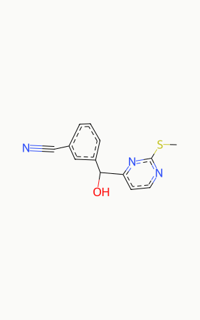 CSc1nccc(C(O)c2cccc(C#N)c2)n1